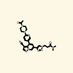 CC(=O)N1CCN(c2ccc(-c3cc(-c4cn(CCC(=O)N(C)C)nn4)cn4ncc(C#N)c34)cn2)CC1